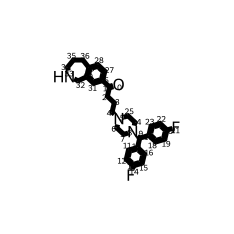 O=C(CCCN1CCN(C(c2ccc(F)cc2)c2ccc(F)cc2)CC1)c1ccc2c(c1)CNCCC2